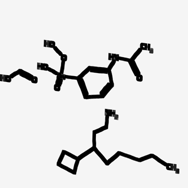 CC(=O)Nc1cccc([As](=O)(O)OO)c1.CCCCCC(CCN)C1CCC1.O=CO